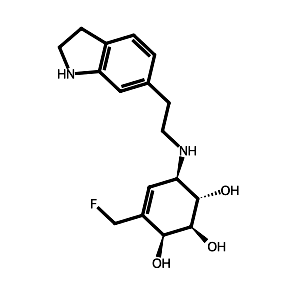 O[C@@H]1[C@@H](O)[C@@H](O)C(CF)=C[C@H]1NCCc1ccc2c(c1)NCC2